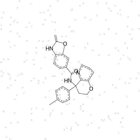 C=C1Nc2ccc(C(=O)NC3(c4ccc(C)cc4)CCOc4cccnc43)cc2O1